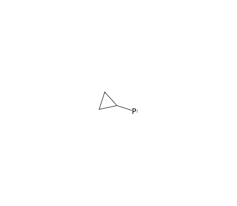 [P]C1CC1